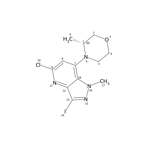 C[C@@H]1COCCN1c1cc(Cl)nc2c(I)nn(C)c12